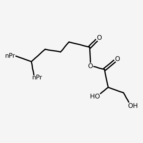 CCCC(CCC)CCCC(=O)OC(=O)C(O)CO